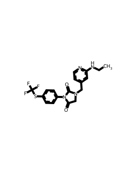 CCNc1cc(CN2CC(=O)N(c3ccc(SC(F)(F)F)cc3)C2=O)ccn1